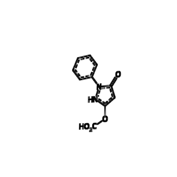 O=C(O)Oc1cc(=O)n(-c2ccccc2)[nH]1